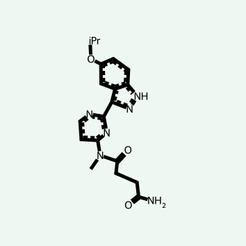 CC(C)Oc1ccc2[nH]nc(-c3nccc(N(C)C(=O)CCC(N)=O)n3)c2c1